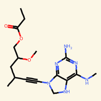 CCC(=O)OCC(CC(C)C#CN1CNc2c(NC)nc(N)nc21)OC